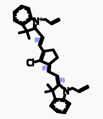 C=CCN1/C(=C/C=C2\CCC(/C=C/C3=[N+](CC=C)c4ccccc4C3(C)C)=C2Cl)C(C)(C)c2ccccc21